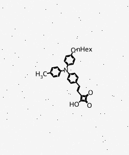 CCCCCCOc1ccc(N(c2ccc(C)cc2)c2ccc(/C=C/c3c(O)c(=O)c3=O)cc2)cc1